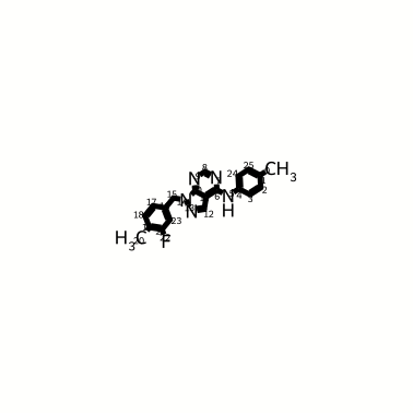 Cc1ccc(Nc2ncnc3c2cnn3Cc2ccc(C)c(F)c2)cc1